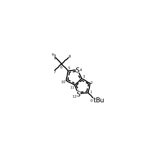 CC(C)(C)c1cc2sc(C(C)(C)I)cc2s1